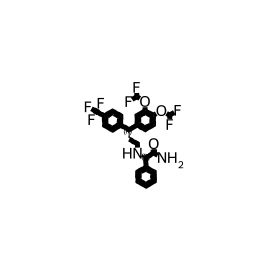 NC(=O)[C@H](NCC[C@H](c1ccc(C(F)(F)F)cc1)c1ccc(OC(F)F)c(OC(F)F)c1)c1ccccc1